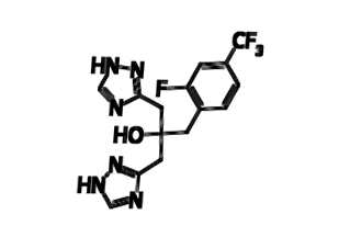 OC(Cc1nc[nH]n1)(Cc1nc[nH]n1)Cc1ccc(C(F)(F)F)cc1F